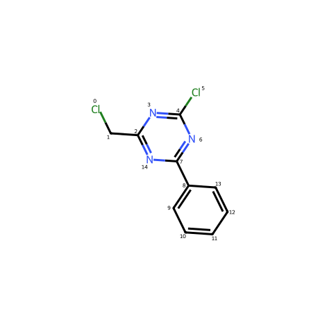 ClCc1nc(Cl)nc(-c2ccccc2)n1